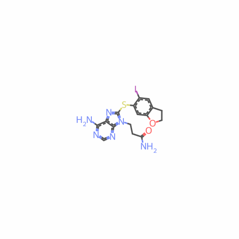 NC(=O)CCn1c(Sc2cc3c(cc2I)CCO3)nc2c(N)ncnc21